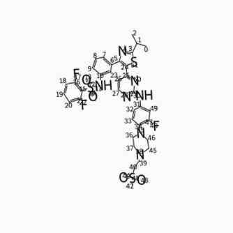 CC(C)c1nc(-c2cccc(NS(=O)(=O)c3c(F)cccc3F)c2)c(-c2ccnc(Nc3ccc(N4CCN(CCS(C)(=O)=O)CC4)c(F)c3)n2)s1